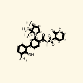 Cc1cccc(-c2ccc(C(=O)NS(=O)(=O)c3ccc[nH]c3=O)c(N3CCC(C)C3(C)C)n2)c1O